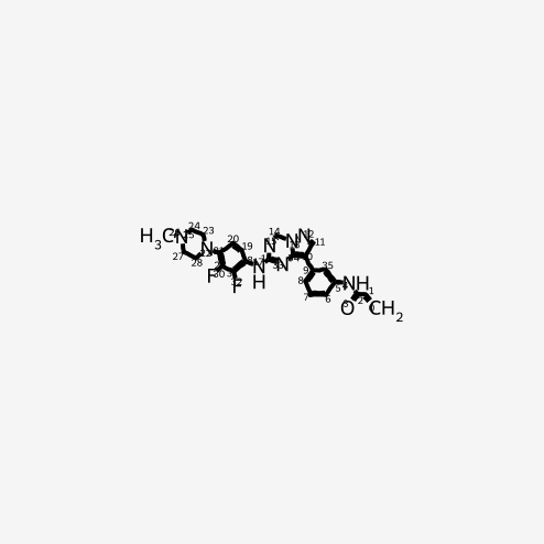 C=CC(=O)Nc1cccc(-c2cnn3cnc(Nc4ccc(N5CCN(C)CC5)c(F)c4F)nc23)c1